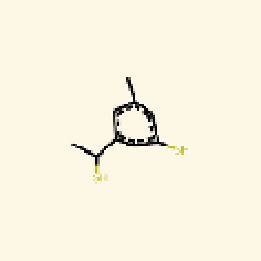 Cc1cc(S)cc(C(C)S)c1